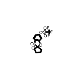 O=S(=O)(Oc1ccc2c(c1)OC1(CCCC1)S2(=O)=O)C(F)(F)F